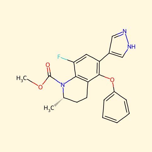 COC(=O)N1c2c(F)cc(-c3cn[nH]c3)c(Oc3ccccc3)c2CC[C@@H]1C